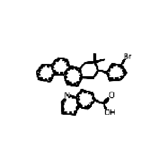 CC1(C)Cc2c(ccc3c2ccc2ccccc23)CC1c1cccc(Br)c1.O=C(O)c1ccc2ncccc2c1